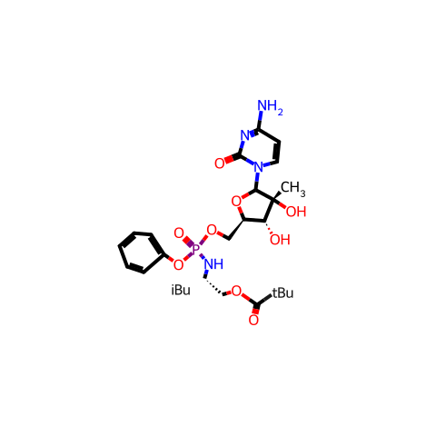 CC[C@H](C)[C@@H](COC(=O)C(C)(C)C)NP(=O)(OC[C@H]1OC(n2ccc(N)nc2=O)[C@](C)(O)[C@@H]1O)Oc1ccccc1